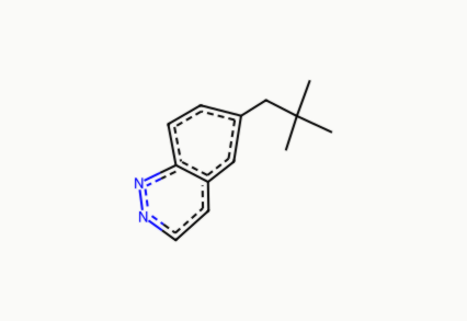 CC(C)(C)Cc1ccc2nnccc2c1